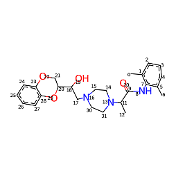 Cc1cccc(C)c1NC(=O)C(C)N1CCN(CC(O)C2COc3ccccc3O2)CC1